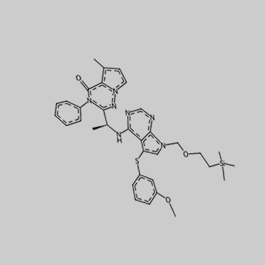 COc1cccc(Sc2cn(COCC[Si](C)(C)C)c3ncnc(N[C@@H](C)c4nn5ccc(C)c5c(=O)n4-c4ccccc4)c23)c1